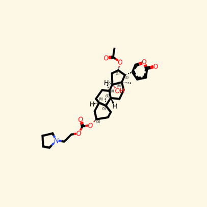 CC(=O)O[C@H]1C[C@]2(O)[C@@H]3CC[C@@H]4C[C@@H](OC(=O)OCCN5CCCC5)CC[C@]4(C)[C@H]3CC[C@]2(C)[C@H]1c1ccc(=O)oc1